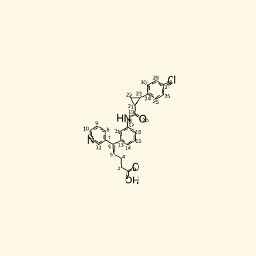 O=C(O)CCC=C(c1cccnc1)c1cccc(NC(=O)C2CC2c2ccc(Cl)cc2)c1